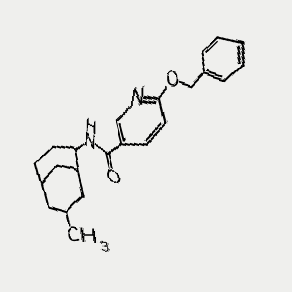 CC1CC2CCC(NC(=O)c3ccc(OCc4ccccc4)nc3)C(C1)C2